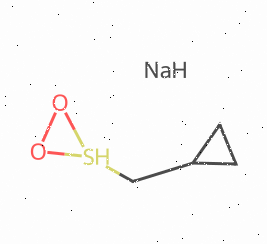 C1CC1C[SH]1OO1.[NaH]